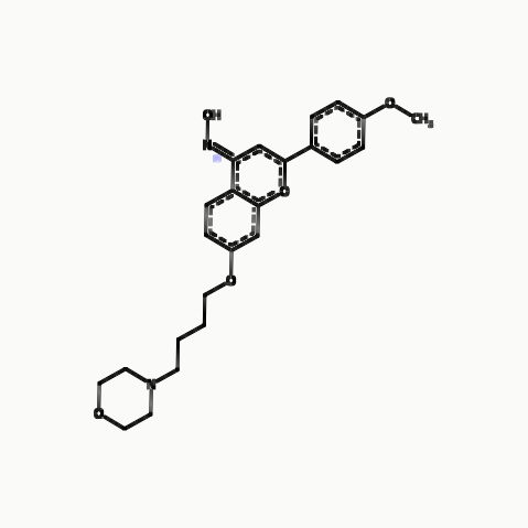 COc1ccc(-c2c/c(=N\O)c3ccc(OCCCCN4CCOCC4)cc3o2)cc1